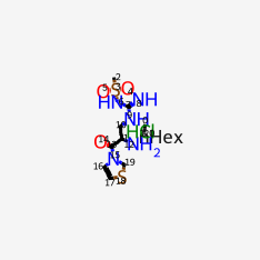 CCCCCCC.CS(=O)(=O)NC(=N)NCC(N)C(=O)N1C=CSC1.Cl